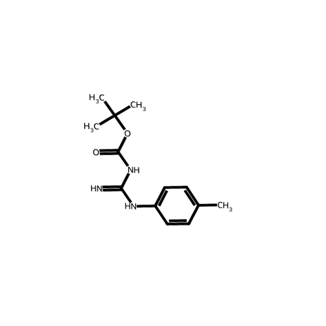 Cc1ccc(NC(=N)NC(=O)OC(C)(C)C)cc1